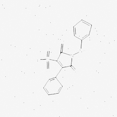 CS(=O)(=O)C1=C(c2ccccc2)C(=O)N(Nc2ccccc2)C1=O